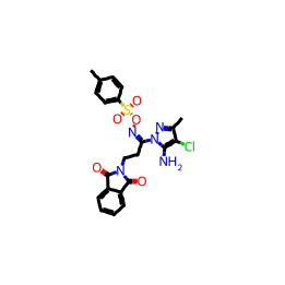 Cc1ccc(S(=O)(=O)ON=C(CCN2C(=O)c3ccccc3C2=O)n2nc(C)c(Cl)c2N)cc1